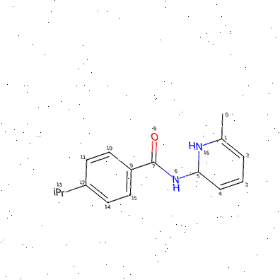 CC1=CC=CC(NC(=O)c2ccc(C(C)C)cc2)N1